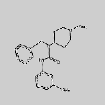 CCCC(C)N1CCC(N(Cc2ccccc2)C(=O)Nc2cccc(OC)c2)CC1